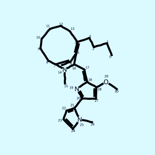 CCCCC1=C2C=C(CCCCCC1)N(C)C2C=C1N=C(c2cccn2C)C=C1OC